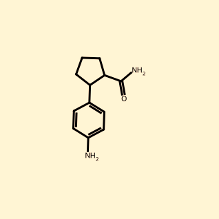 NC(=O)C1CCCC1c1ccc(N)cc1